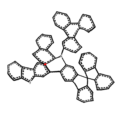 c1ccc2c(c1)-c1ccccc1C21c2ccccc2-c2cc(-c3ccc4c(c3)sc3ccccc34)c(N(c3ccc4c5ccccc5c5ccccc5c4c3)c3cccc4ccccc34)cc21